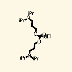 CC(C)N(CCCOC(=O)OCCCN(C(C)C)C(C)C)C(C)C.Cl.Cl